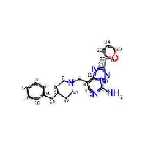 Nc1ncc(CN2CCC(Cc3ccccc3)CC2)c2nc(-c3ccco3)nn12